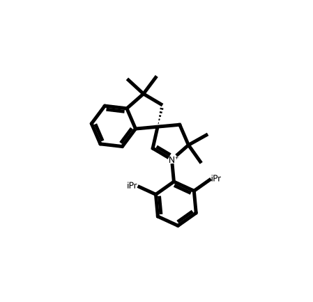 CC(C)c1cccc(C(C)C)c1[N+]1=C[C@]2(CC(C)(C)c3ccccc32)CC1(C)C